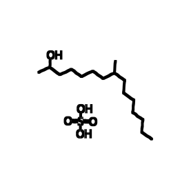 CCCCCCCC(C)CCCCCC(C)O.O=S(=O)(O)O